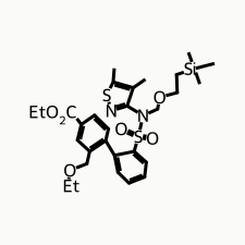 CCOCc1cc(C(=O)OCC)ccc1-c1ccccc1S(=O)(=O)N(COCC[Si](C)(C)C)c1nsc(C)c1C